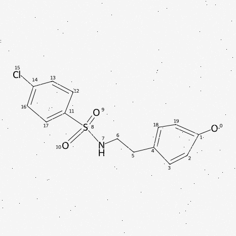 [O]c1ccc(CCNS(=O)(=O)c2ccc(Cl)cc2)cc1